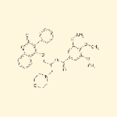 COc1cc(C(=O)OC(COc2c(-c3ccccc3)c(=O)oc3ccccc23)CN2CCOCC2)cc(OC)c1OC